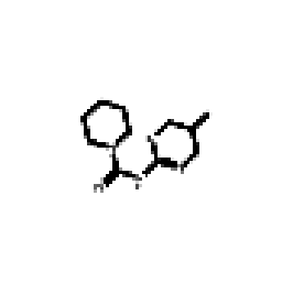 CC1CN=C(NC(=N)N2CCCCC2)NC1